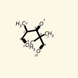 CC(C=O)C(=O)C(C)(C)C=O